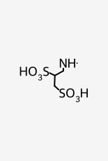 [NH]CC(CS(=O)(=O)O)S(=O)(=O)O